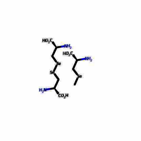 C[Se]C[C@H](N)C(=O)O.N[C@@H](C[Se][Se]C[C@H](N)C(=O)O)C(=O)O